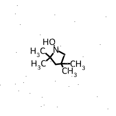 CC1(C)CN(O)C(C)(C)C1